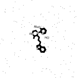 COc1cccnc1N1CCNC(C)C1CCCc1csc2ccccc12.Cl